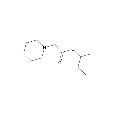 CCC(C)OC(=O)CN1CCCCC1